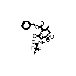 CC1=C(C(=O)OCc2ccccc2)N2C(=O)[C@@H](NC(=O)C(F)(F)F)C2S(=O)(=O)C1